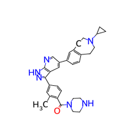 Cc1cc(-c2n[nH]c3ncc(-c4ccc5c(c4)CCN(C4CC4)CC5)cc23)ccc1C(=O)N1CCNCC1